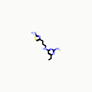 CCc1cc(NCCCc2csc(N)n2)nc(N)n1